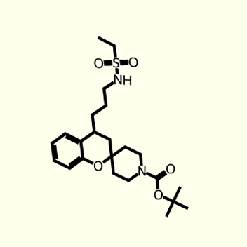 CCS(=O)(=O)NCCCC1CC2(CCN(C(=O)OC(C)(C)C)CC2)Oc2ccccc21